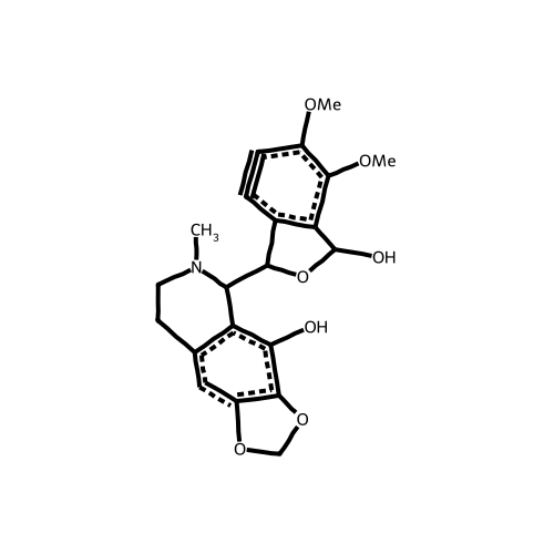 COc1c#cc2c(c1OC)C(O)OC2C1c2c(cc3c(c2O)OCO3)CCN1C